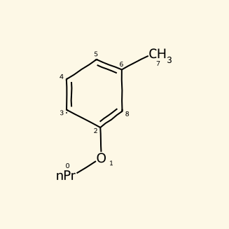 CCCOc1[c]ccc(C)c1